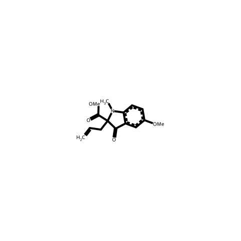 C=CCC1(C(=O)OC)C(=O)c2cc(OC)ccc2N1C